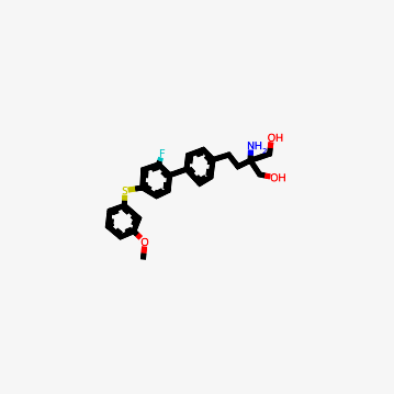 COc1cccc(Sc2ccc(-c3ccc(CCC(N)(CO)CO)cc3)c(F)c2)c1